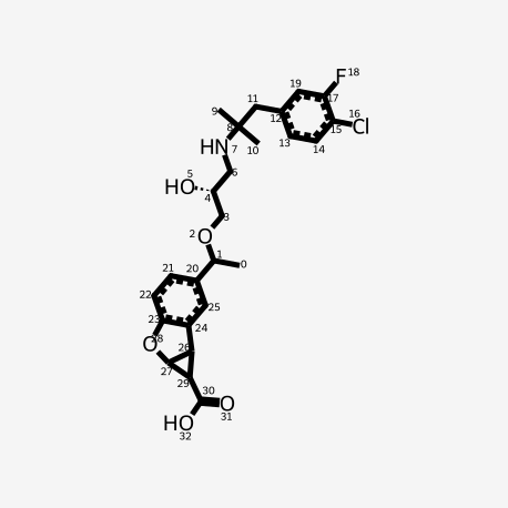 CC(OC[C@H](O)CNC(C)(C)Cc1ccc(Cl)c(F)c1)c1ccc2c(c1)C1C(O2)C1C(=O)O